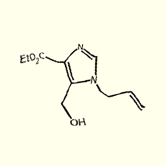 C=CCn1cnc(C(=O)OCC)c1CO